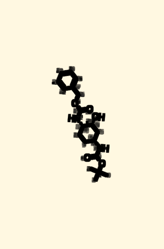 CC(C)(C)OC(=O)N[C@H]1CC[C@H](NC(=O)OCc2ccccc2)[C@H](O)C1